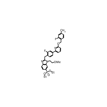 CCOP(=O)(OCC)c1ccc2nc(Cc3ccc(-c4cccc(OCc5ccc(C)cc5F)n4)cc3F)n(CCOC)c2c1